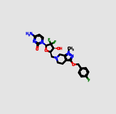 Cn1nc(OCc2ccc(F)cc2)c2c1CN(C[C@H]1O[C@@H](n3ccc(N)nc3=O)C(F)(F)[C@@H]1O)CC2